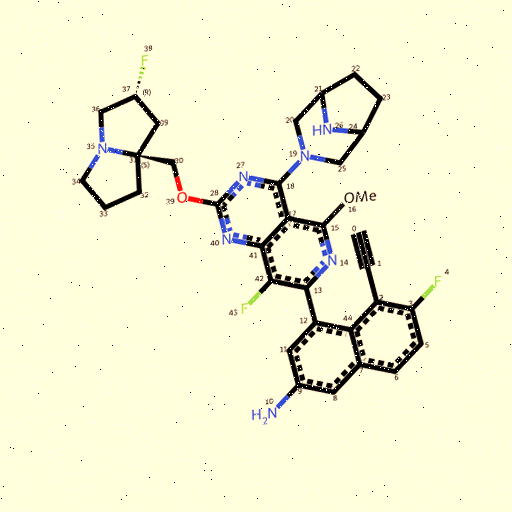 C#Cc1c(F)ccc2cc(N)cc(-c3nc(OC)c4c(N5CC6CCC(C5)N6)nc(OC[C@@]56CCCN5C[C@H](F)C6)nc4c3F)c12